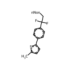 CCCCCCCCCCC(F)(F)c1ccc(-c2ccc(C)s2)cc1